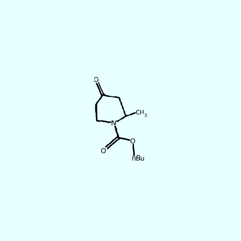 CCCCOC(=O)N1CCC(=O)CC1C